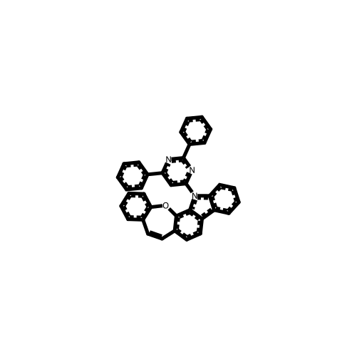 C1=Cc2ccc3c4ccccc4n(-c4cc(-c5ccccc5)nc(-c5ccccc5)n4)c3c2Oc2ccccc21